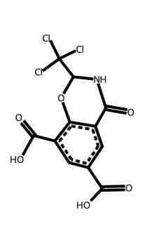 O=C(O)c1cc(C(=O)O)c2c(c1)C(=O)NC(C(Cl)(Cl)Cl)O2